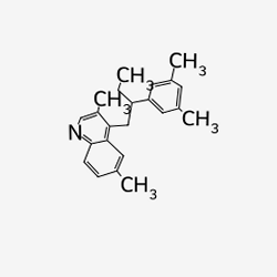 CCC(Cc1c(C)cnc2ccc(C)cc12)c1cc(C)cc(C)c1